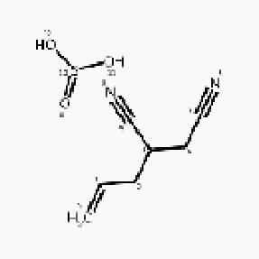 C=CCC(C#N)CC#N.O=S(O)O